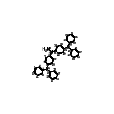 NN(c1ccc(N(c2cc#ccc2)c2ccccc2)cc1)c1ccc(N(c2ccccc2)c2ccccc2)cc1